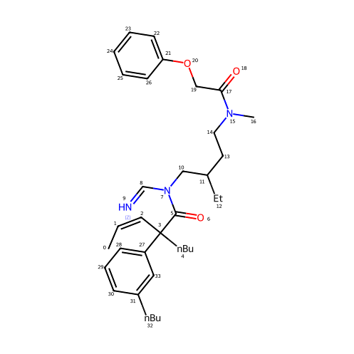 C/C=C\C(CCCC)(C(=O)N(C=N)CC(CC)CCN(C)C(=O)COc1ccccc1)c1cccc(CCCC)c1